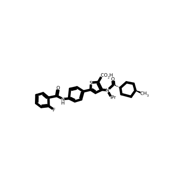 CC(C)N(c1cc(-c2ccc(NC(=O)c3ccccc3F)cc2)sc1C(=O)O)C(=O)[C@H]1CC[C@H](C)CC1